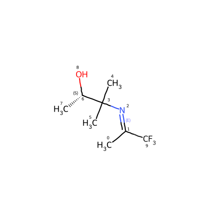 C/C(=N\C(C)(C)[C@H](C)O)C(F)(F)F